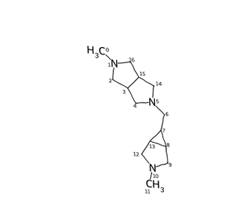 CN1CC2CN(CC3C4CN(C)CC43)CC2C1